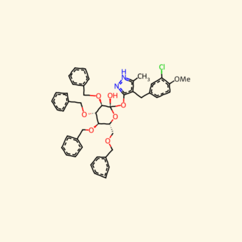 COc1ccc(Cc2c(O[C@]3(O)O[C@H](COCc4ccccc4)[C@@H](OCc4ccccc4)[C@H](OCc4ccccc4)[C@H]3OCc3ccccc3)n[nH]c2C)cc1Cl